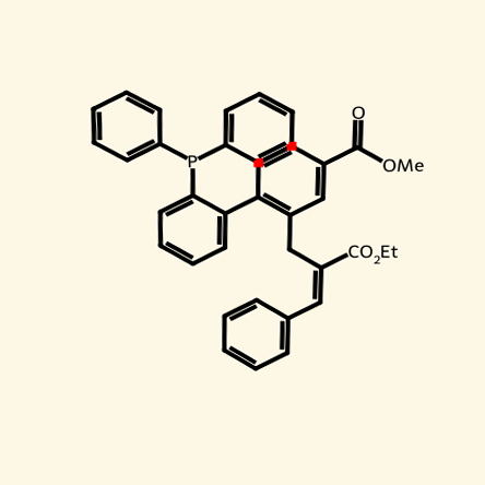 CCOC(=O)/C(=C/c1ccccc1)Cc1cc(C(=O)OC)ccc1-c1ccccc1P(c1ccccc1)c1ccccc1